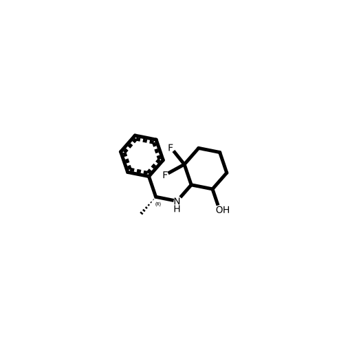 C[C@@H](NC1C(O)CCCC1(F)F)c1ccccc1